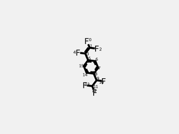 FC(F)=C(F)c1ccc(C(F)C(F)F)cc1